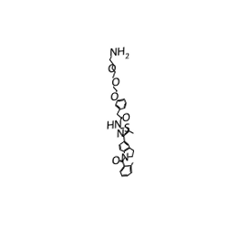 Cc1ccccc1C(=O)N1CCc2cc(-c3nc(NC(=O)Cc4cccc(OCCOCCOCCN)c4)sc3C)ccc21